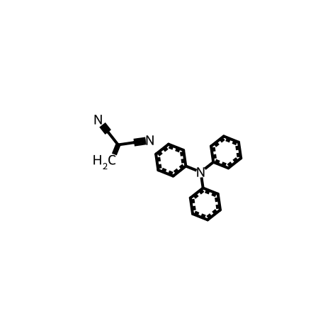 C=C(C#N)C#N.c1ccc(N(c2ccccc2)c2ccccc2)cc1